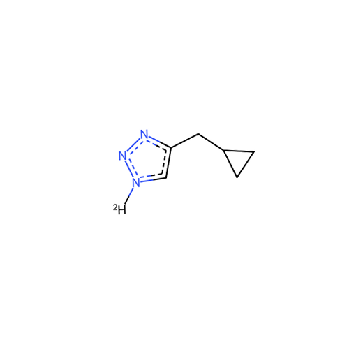 [2H]n1cc(CC2CC2)nn1